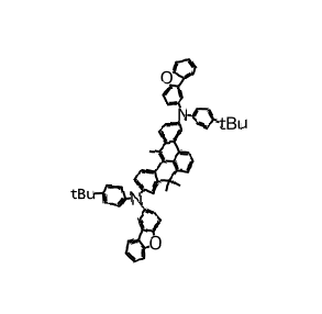 Cc1c2c3c(cccc3c3cc(N(c4ccc(C(C)(C)C)cc4)c4ccc5oc6ccccc6c5c4)ccc13)C(C)(C)c1cc(N(c3ccc(C(C)(C)C)cc3)c3ccc4oc5ccccc5c4c3)ccc1-2